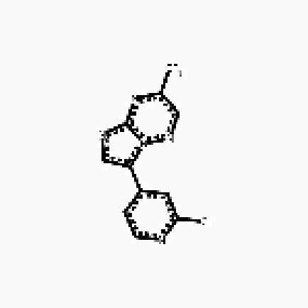 FC(F)(F)c1cnn2c(-c3ccnc(Cl)c3)cnc2n1